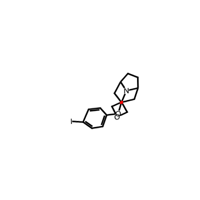 Ic1ccc(OC2CC3CCC(C2)N3C2COC2)cc1